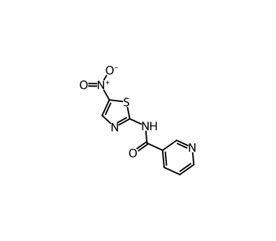 O=C(Nc1ncc([N+](=O)[O-])s1)c1cccnc1